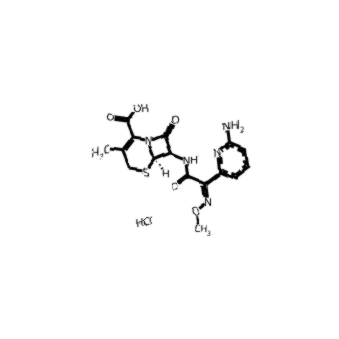 CO/N=C(\C(=O)NC1C(=O)N2C(C(=O)O)=C(C)CS[C@H]12)c1cccc(N)n1.Cl